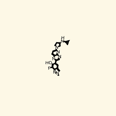 Cn1cc2cc(-c3cnc4nc(N5CC[C@H](NC6CC6)C5)ccc4n3)c(O)c(F)c2n1